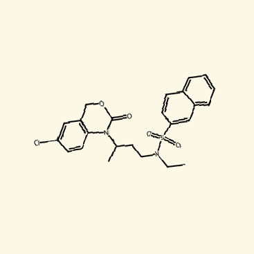 CCN(CCC(C)N1C(=O)OCc2cc(Cl)ccc21)S(=O)(=O)c1ccc2ccccc2c1